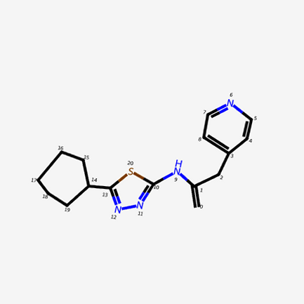 C=C(Cc1ccncc1)Nc1nnc(C2CCCCC2)s1